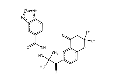 CCC1(CC)CC(=O)c2cc(C(=O)C(C)(C)NNC(=O)c3ccc4[nH]nnc4c3)ccc2O1